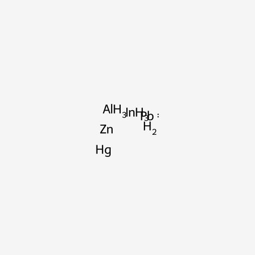 [AlH3].[Hg].[InH3].[PbH2].[Zn]